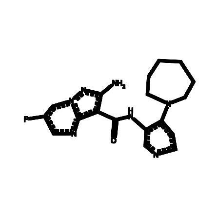 Nc1nn2cc(F)cnc2c1C(=O)Nc1cnccc1N1CCCCCC1